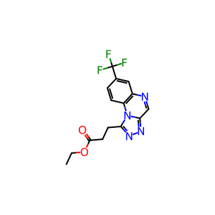 CCOC(=O)CCc1nnc2cnc3cc(C(F)(F)F)ccc3n12